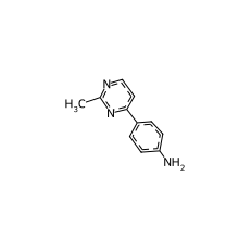 Cc1nccc(-c2ccc(N)cc2)n1